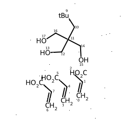 C=CC(=O)O.C=CC(=O)O.C=CC(=O)O.CC(C)(C)CC(CO)(CO)CO